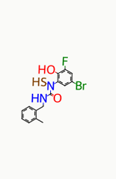 Cc1ccccc1CNC(=O)N(S)c1cc(Br)cc(F)c1O